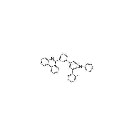 Cc1ccccc1-c1cc(-c2cccc(-c3nc4ccccc4c4ccccc34)c2)cc2c1N2c1ccccc1